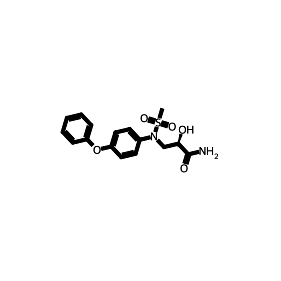 CS(=O)(=O)N(C[C@@H](O)C(N)=O)c1ccc(Oc2ccccc2)cc1